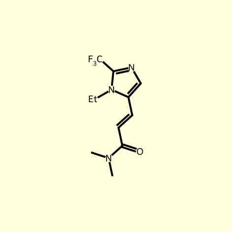 CCn1c(/C=C/C(=O)N(C)C)cnc1C(F)(F)F